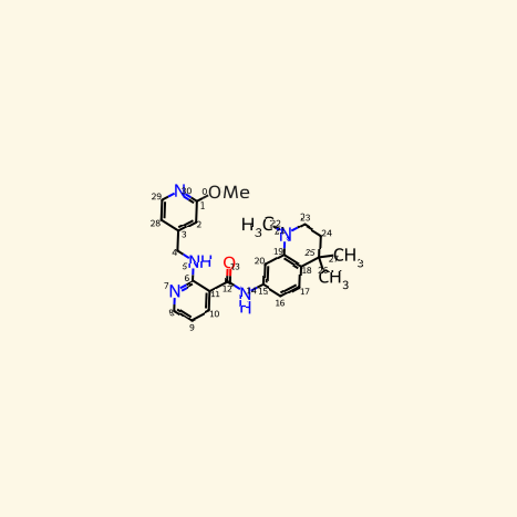 COc1cc(CNc2ncccc2C(=O)Nc2ccc3c(c2)N(C)CCC3(C)C)ccn1